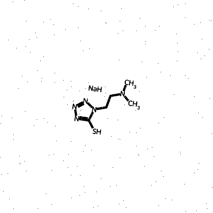 CN(C)CCn1nnnc1S.[NaH]